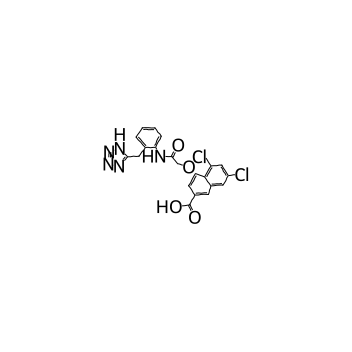 O=C(COc1cc(C(=O)O)cc2cc(Cl)cc(Cl)c12)Nc1ccccc1Cc1nnn[nH]1